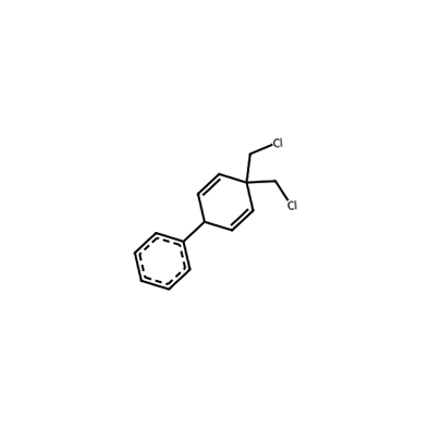 ClCC1(CCl)C=CC(c2ccccc2)C=C1